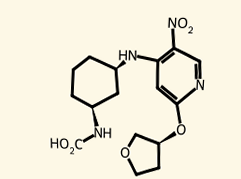 O=C(O)N[C@H]1CCC[C@@H](Nc2cc(O[C@H]3CCOC3)ncc2[N+](=O)[O-])C1